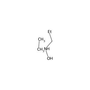 CC.CCCNO